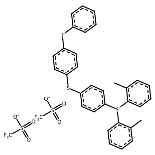 Cc1ccccc1[S+](c1ccc(Sc2ccc([I+]c3ccccc3)cc2)cc1)c1ccccc1C.O=S(=O)([O-])C(F)(F)F.O=S(=O)([O-])C(F)(F)F